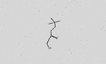 CC(C)(C)COC(F)CO